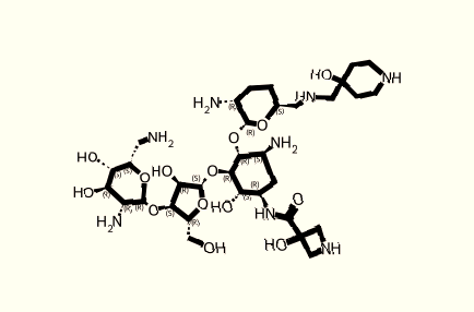 NC[C@@H]1O[C@H](O[C@H]2[C@@H](O)[C@H](O[C@@H]3[C@@H](O)[C@H](NC(=O)C4(O)CNC4)C[C@H](N)[C@H]3O[C@H]3O[C@H](CNCC4(O)CCNCC4)CC[C@H]3N)O[C@@H]2CO)[C@H](N)[C@@H](O)[C@@H]1O